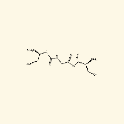 N[C@@H](CO)c1nnc(CNC(=O)N[C@@H](CO)C(=O)O)o1